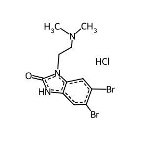 CN(C)CCn1c(=O)[nH]c2cc(Br)c(Br)cc21.Cl